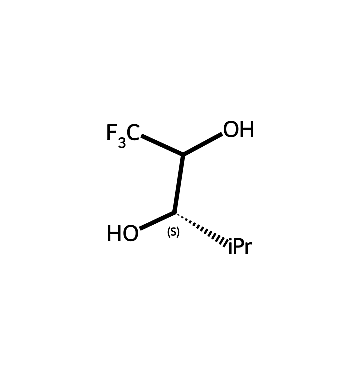 CC(C)[C@H](O)C(O)C(F)(F)F